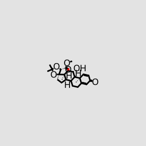 COC(=O)[C@H]1OC(C)(C)O[C@@]12CC[C@H]1[C@@H]3CCC4=CC(=O)C=C[C@]4(C)[C@H]3[C@@H](O)C[C@@]12C